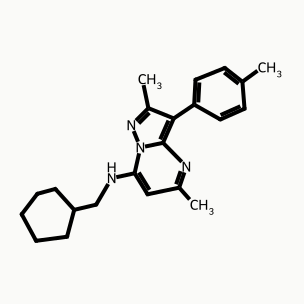 Cc1ccc(-c2c(C)nn3c(NCC4CCCCC4)cc(C)nc23)cc1